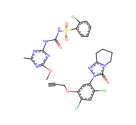 C#CCOc1cc(-n2nc3n(c2=O)CCCC3)c(Cl)cc1Cl.COc1nc(C)nc(NC(=O)NS(=O)(=O)c2ccccc2Cl)n1